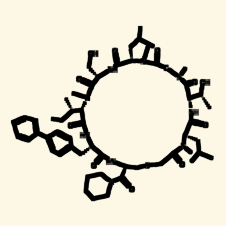 CC[C@H](C)[C@H]1C(=O)N[C@@H](Cc2ccc(-c3ccccc3)cc2)C(=O)N[C@H](C(=O)N2CCCCC2)CSCC(=O)N(C)[C@@H](CC(C)C)C(=O)N[C@@H]([C@@H](C)O)C(=O)N(C)CC(=O)N(C)[C@@H](CC(C)C)C(=O)N[C@@H](CO)C(=O)N1C